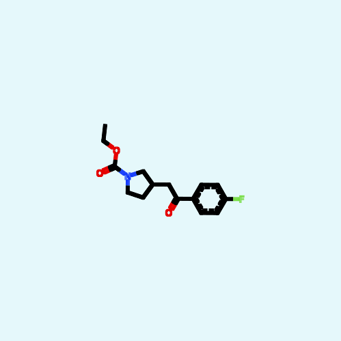 CCOC(=O)N1CCC(CC(=O)c2ccc(F)cc2)C1